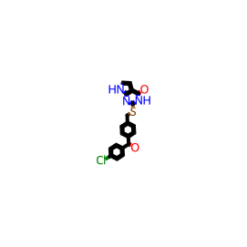 O=C(c1ccc(Cl)cc1)c1ccc(CSc2nc3[nH]ccc3c(=O)[nH]2)cc1